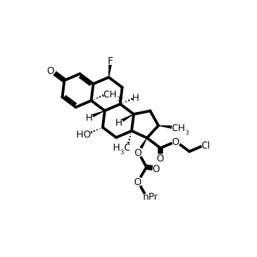 CCCOC(=O)O[C@]1(C(=O)OCCl)[C@H](C)C[C@H]2[C@@H]3C[C@H](F)C4=CC(=O)C=C[C@]4(C)[C@H]3[C@@H](O)C[C@@]21C